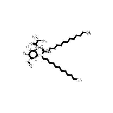 CCCCCCCCCCCCNC(=O)N(CCCCCCCCCCCC)[C@@H]1O[C@H](CO)[C@@H](O)[C@H](O)[C@H]1NC(=O)[C@H](C)N